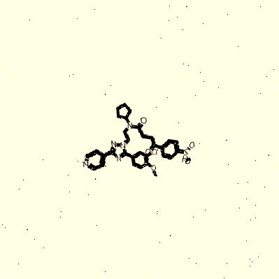 COc1ccc(-c2nc(-c3ccncc3)nn2CCN(C(=O)CCC(=O)c2ccc([SH](=O)=O)cc2)C2CCCC2)cc1Cl